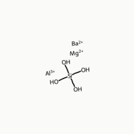 O[Si](O)(O)O.[Al+3].[Ba+2].[Mg+2]